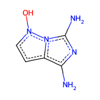 Nc1nc(N)n2c1ccn2O